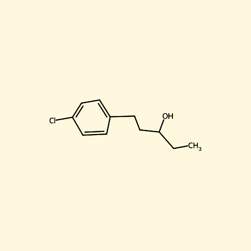 CCC(O)CCc1ccc(Cl)cc1